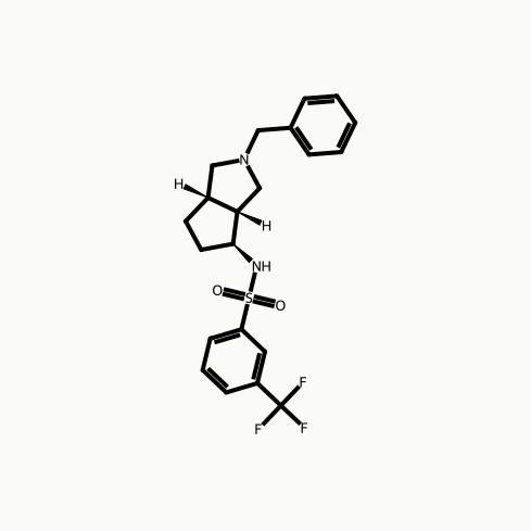 O=S(=O)(N[C@H]1CC[C@@H]2CN(Cc3ccccc3)C[C@@H]21)c1cccc(C(F)(F)F)c1